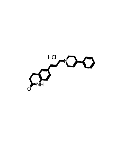 Cl.O=C1CCc2cc(C=CCN3CC=C(c4ccccc4)CC3)ccc2N1